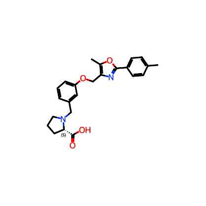 Cc1ccc(-c2nc(COc3cccc(CN4CCC[C@H]4C(=O)O)c3)c(C)o2)cc1